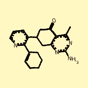 Cc1nc(N)nc2c1C(=O)CC(c1cccnc1C1=CCCCC1)C2